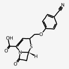 N#Cc1ccc(OCC2C=C(C(=O)O)N3C(=O)C[C@H]3S2)cc1